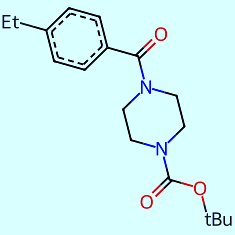 CCc1ccc(C(=O)N2CCN(C(=O)OC(C)(C)C)CC2)cc1